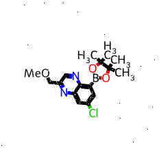 COCc1cnc2c(B3OC(C)(C)C(C)(C)O3)cc(Cl)cc2n1